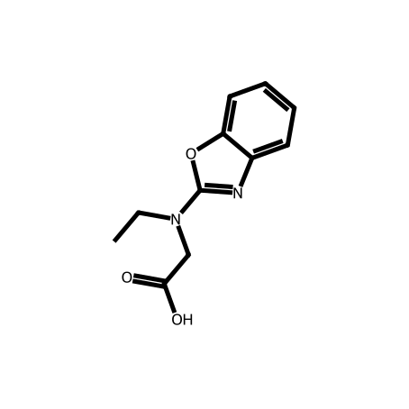 CCN(CC(=O)O)c1nc2ccccc2o1